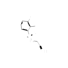 C#CCNS(=O)(=O)c1cccc(Cl)c1Cl